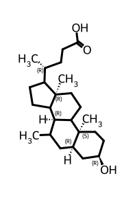 CC1C[C@@H]2C[C@H](O)CC[C@]2(C)C2CC[C@@]3(C)C(CCC3[C@H](C)CCC(=O)O)[C@H]12